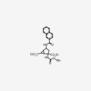 CCOC(=O)C1C2C(NC(=O)c3ccc4ccccc4c3)CC(NC(=O)OC(C)(C)C)(C(=O)OCC)C12